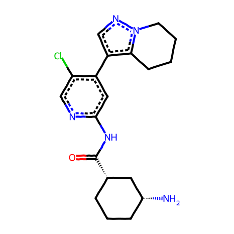 N[C@@H]1CCC[C@H](C(=O)Nc2cc(-c3cnn4c3CCCC4)c(Cl)cn2)C1